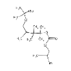 CCCCC(C)(N)OCC(C)C(C)(C)C(C)(C)OC(=O)OCC(C)C(C)C